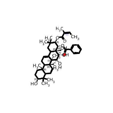 C/C=C(/C)C(=O)O[C@H]1[C@H](OC(=O)c2ccccc2)[C@@]2(CO)C(CC1(C)C)C1=CCC3[C@@]4(C)CC[C@H](O)C(C)(C)C4CC[C@@]3(C)[C@]1(C)[C@@H](O)[C@H]2O